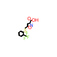 O=C(O)c1cc(CSc2ccccc2C(F)(F)F)on1